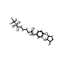 CC1CCC(Oc2ccc(NC(=O)CCCCNS(=O)(=O)C(C)(C)C)cc2)C1C